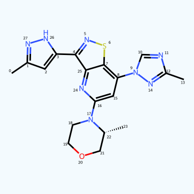 Cc1cc(-c2nsc3c(-n4cnc(C)n4)cc(N4CCOC[C@H]4C)nc23)[nH]n1